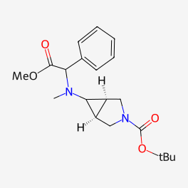 COC(=O)C(c1ccccc1)N(C)C1[C@H]2CN(C(=O)OC(C)(C)C)C[C@@H]12